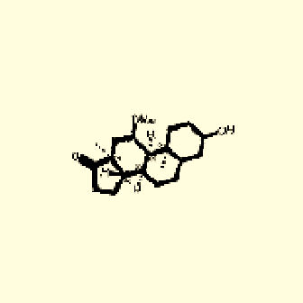 COC1C[C@]2(C)C(=O)CC[C@H]2[C@@H]2CCC3CC(O)CC[C@]3(C)[C@H]12